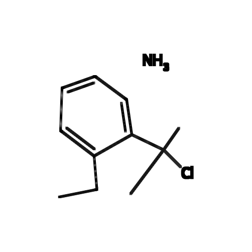 CCc1ccccc1C(C)(C)Cl.N